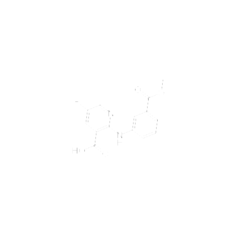 COC(=O)c1cccc(Nc2ncc(F)cc2C(=O)O)c1